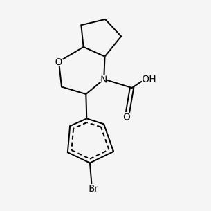 O=C(O)N1C(c2ccc(Br)cc2)COC2CCCC21